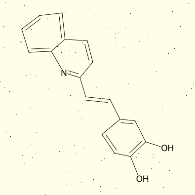 Oc1ccc(/C=C/c2ccc3ccccc3n2)cc1O